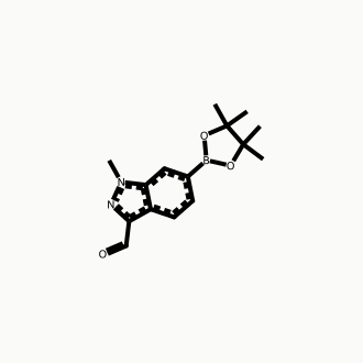 Cn1nc(C=O)c2ccc(B3OC(C)(C)C(C)(C)O3)cc21